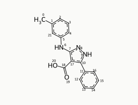 Cc1cccc(Nc2n[nH]c(-c3ccccc3)c2C(=O)O)c1